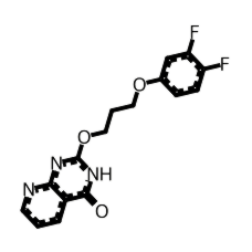 O=c1[nH]c(OCCCOc2ccc(F)c(F)c2)nc2ncccc12